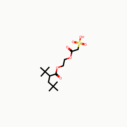 CC(C)(C)CC(C(=O)OCCOC(=O)CS(=O)(=O)O)C(C)(C)C